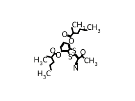 CCCCC(CC)C(=O)Oc1ccc(OC(=O)C(CC)CCCC)c2c1SC(=C(C#N)C(C)=O)S2